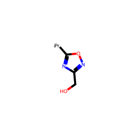 CC(C)c1nc(CO)no1